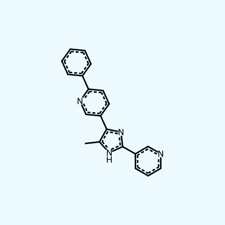 Cc1[nH]c(-c2cccnc2)nc1-c1ccc(-c2ccccc2)nc1